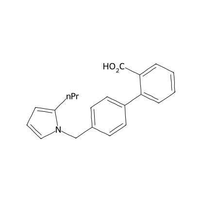 CCCc1cccn1Cc1ccc(-c2ccccc2C(=O)O)cc1